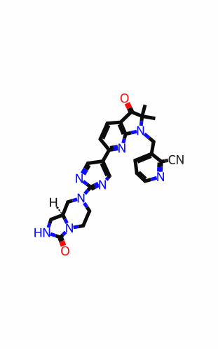 CC1(C)C(=O)c2ccc(-c3cnc(N4CCN5C(=O)NC[C@H]5C4)nc3)nc2N1Cc1cccnc1C#N